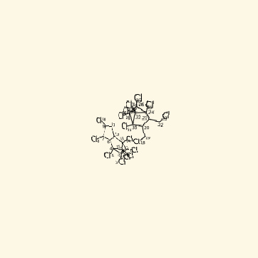 ClC1=C(Cl)C2(Cl)C3C(Cl)C(Cl)CC3C1(Cl)C2(Cl)Cl.ClCC1C(CCl)C2(Cl)C(Cl)=C(Cl)C1(Cl)C2(Cl)Cl